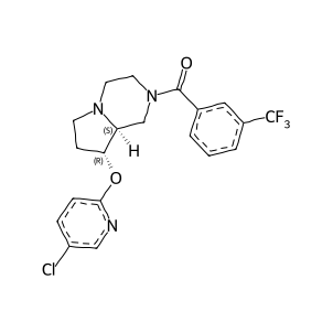 O=C(c1cccc(C(F)(F)F)c1)N1CCN2CC[C@@H](Oc3ccc(Cl)cn3)[C@@H]2C1